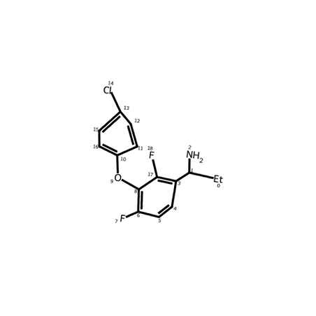 CCC(N)c1ccc(F)c(Oc2ccc(Cl)cc2)c1F